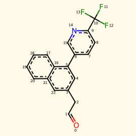 O=CCc1cc(-c2ccc(C(F)(F)F)nc2)c2ccccc2c1